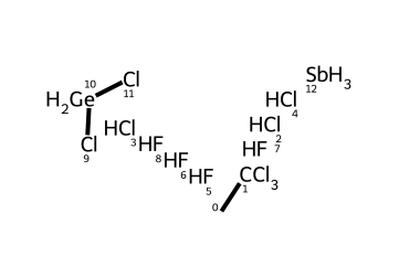 CC(Cl)(Cl)Cl.Cl.Cl.Cl.F.F.F.F.[Cl][GeH2][Cl].[SbH3]